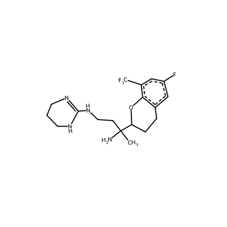 CC(N)(CCNC1=NCCCN1)C1CCc2cc(F)cc(C(F)(F)F)c2O1